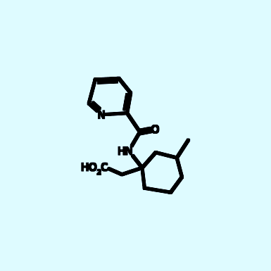 CC1CCCC(CC(=O)O)(NC(=O)c2ccccn2)C1